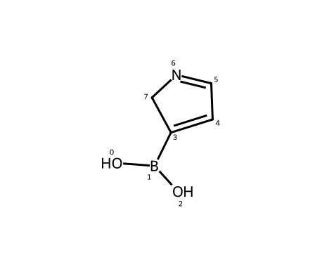 OB(O)C1=CC=NC1